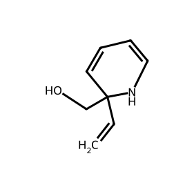 C=CC1(CO)C=CC=CN1